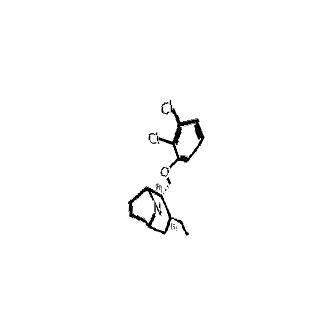 CC[C@H]1CC2CCC([C@@H]1COc1cccc(Cl)c1Cl)N2C